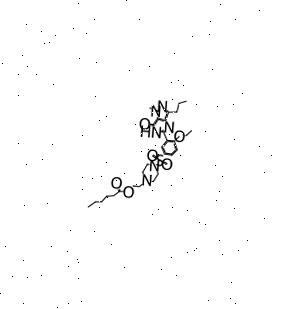 CCCCCC(=O)OCCN1CCN(S(=O)(=O)c2ccc(OCC)c(-c3nc4c(CCC)nn(C)c4c(=O)[nH]3)c2)CC1